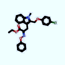 CCOC(=O)C(Cc1c(COc2ccc(Cl)cc2)n(C)c2ccccc12)=NOc1ccccc1